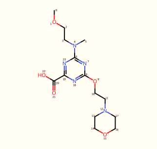 COCCN(C)c1nc(OCCN2CCOCC2)nc(C(=O)O)n1